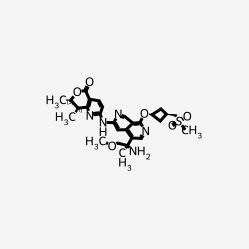 COCC(C)(N)c1cnc(O[C@H]2C[C@H](CS(C)(=O)=O)C2)c2cnc(Nc3ccc4c(n3)[C@@H](C)[C@H](C)OC4=O)cc12